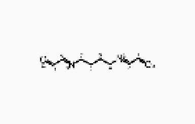 O=CC=NCCCCN=CC=O